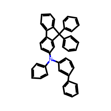 c1ccc(-c2cccc(N(c3ccccc3)c3ccc4c(c3)C(c3ccccc3)(c3ccccc3)c3ccccc3-4)c2)cc1